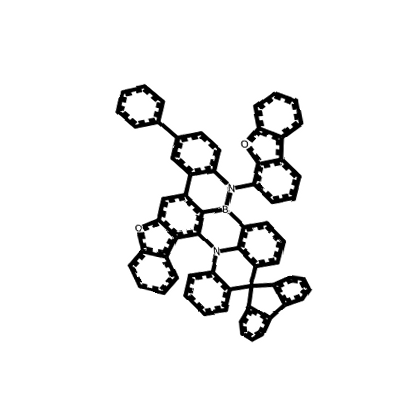 c1ccc(-c2ccc3c(c2)-c2cc4oc5ccccc5c4c4c2B(c2cccc5c2N4c2ccccc2C52c4ccccc4-c4ccccc42)N3c2cccc3c2oc2ccccc23)cc1